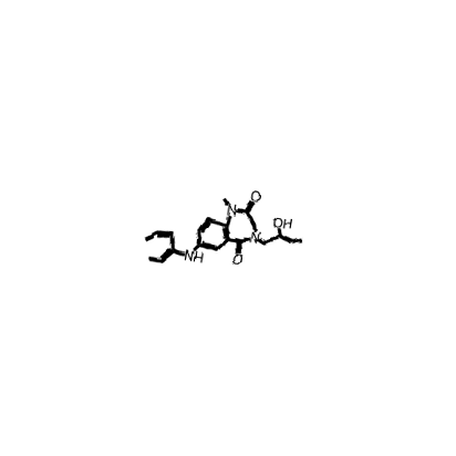 C/C=C\C(=C/C)Nc1ccc2c(c1)C(=O)N(CC(O)CC)CC(=O)N2C